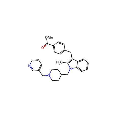 COC(=O)c1ccc(Cc2c(C)n(CC3CCN(Cc4cccnc4)CC3)c3ccccc23)cc1